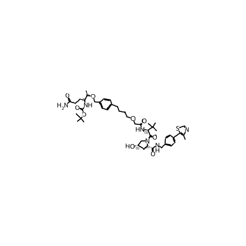 Cc1ncsc1-c1ccc(CNC(=O)[C@@H]2C[C@H](O)CN2C(=O)[C@@H](NC(=O)COCCCCc2ccc(CO[C@H](C)[C@H](CCC(N)=O)NC(=O)OC(C)(C)C)cc2)C(C)(C)C)cc1